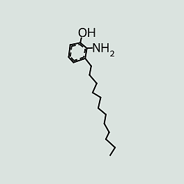 CCCCCCCCCCCCc1cccc(O)c1N